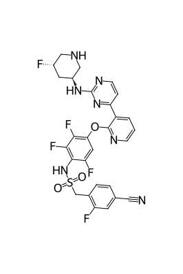 N#Cc1ccc(CS(=O)(=O)Nc2c(F)cc(Oc3ncccc3-c3ccnc(N[C@@H]4CNC[C@@H](F)C4)n3)c(F)c2F)c(F)c1